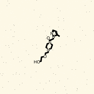 Cc1[c]cnn1CC(=O)N1CCN(CCOCCO)CC1